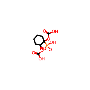 O=C(O)OC1CCCCC1(OC(=O)O)P(=O)(O)O